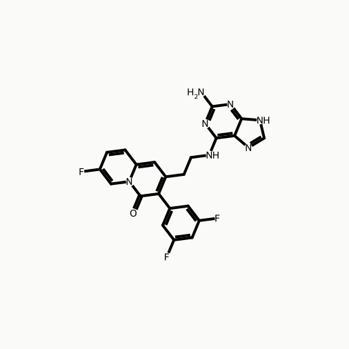 Nc1nc(NCCc2cc3ccc(F)cn3c(=O)c2-c2cc(F)cc(F)c2)c2nc[nH]c2n1